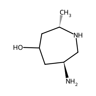 C[C@H]1CC(O)C[C@H](N)CN1